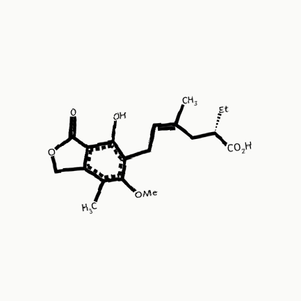 CC[C@@H](CC(C)=CCc1c(O)c2c(c(C)c1OC)COC2=O)C(=O)O